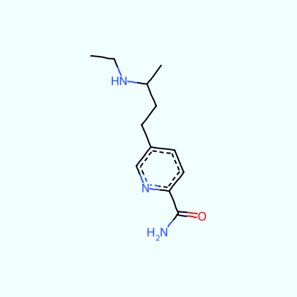 CCNC(C)CCc1ccc(C(N)=O)nc1